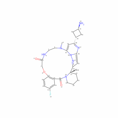 CN1CCNC(=O)COc2ccc(F)cc2C(=O)N2CCCC[C@H]2c2cc3nc([C@H]4C[C@H](N)C4)cc1n3n2